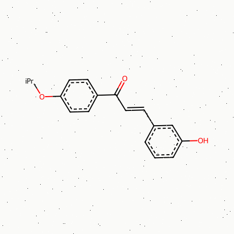 CC(C)Oc1ccc(C(=O)C=Cc2cccc(O)c2)cc1